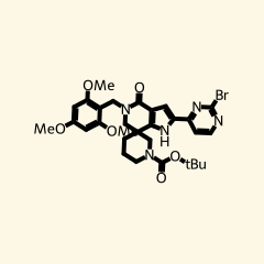 COc1cc(OC)c(CN2CC3(CCCN(C(=O)OC(C)(C)C)C3)c3[nH]c(-c4ccnc(Br)n4)cc3C2=O)c(OC)c1